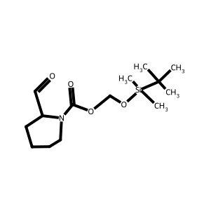 CC(C)(C)[Si](C)(C)OCOC(=O)N1CCCCC1C=O